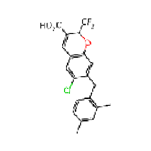 Cc1ccc(Cc2cc3c(cc2Cl)C=C(C(=O)O)C(C(F)(F)F)O3)c(C)c1